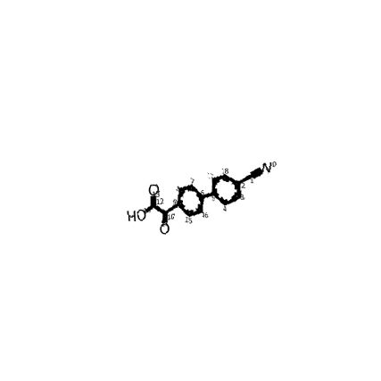 N#Cc1ccc(-c2ccc(C(=O)C(=O)O)cc2)cc1